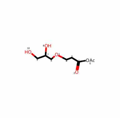 CC(=O)OC(=O)CCOCC(O)CO